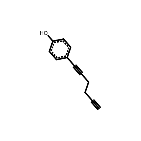 C#CCCC#Cc1ccc(O)cc1